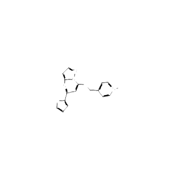 [O-][n+]1ccc(COc2cc(-c3cccs3)nc3ccnn23)cc1